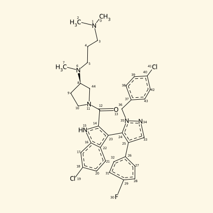 CN(C)CCCN(C)[C@@H]1CCN(C(=O)c2[nH]c3cc(Cl)ccc3c2-c2c(-c3ccc(F)cc3)cnn2Cc2ccc(Cl)cc2)C1